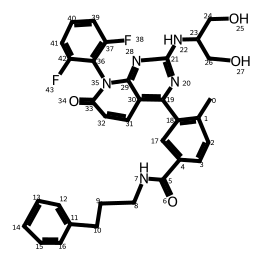 Cc1ccc(C(=O)NCCCc2ccccc2)cc1-c1nc(NC(CO)CO)nc2c1ccc(=O)n2-c1c(F)cccc1F